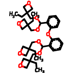 CCC1(COC(OCC2(CC)COC2)c2ccccc2Oc2ccccc2C(OCC2(CC)COC2)OCC2(CC)COC2)COC1